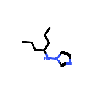 CCCC(CCC)Nn1[c]ncc1